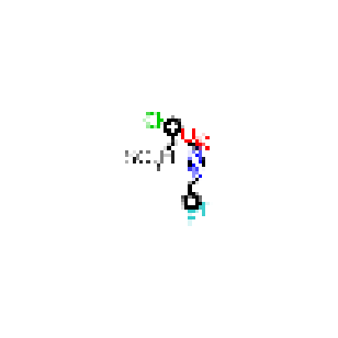 O=C(COc1ccc(Cl)cc1CCS(=O)(=O)O)N1CCN(CCc2ccc(F)c(F)c2)CC1